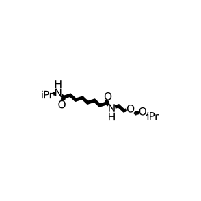 CC(C)NC(=O)CCCCCCC(=O)NCCOCOC(C)C